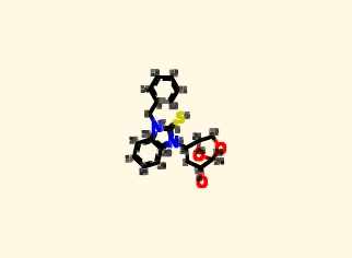 O=C1CC(n2c(=S)n(Cc3ccccc3)c3ccccc32)C2COC1O2